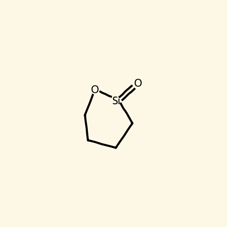 O=[Si]1CCCCO1